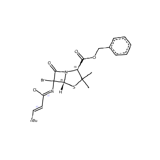 CCCC/C=C/C(Cl)=N/C1(Br)C(=O)N2[C@@H](C(=O)OCc3ccccc3)C(C)(C)S[C@@H]21